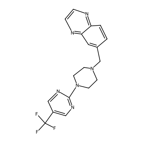 FC(F)(F)c1cnc(N2CCN(Cc3ccc4nccnc4c3)CC2)nc1